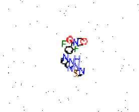 O=C(c1c(F)cc(-n2ccc3cnc(Nc4nccs4)nc32)cc1F)N1CCOCC1